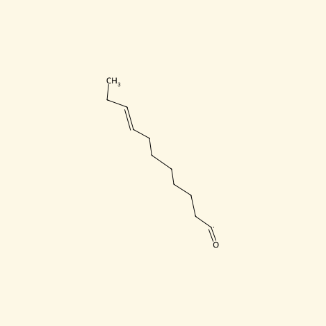 CC/C=C/CCCCCC[C]=O